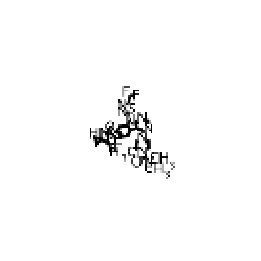 CC1CN(c2ncnc3c2c2cc(F)c(S(=O)(=O)NC4(C#N)CC4)cc2n3-c2nnc(C(F)F)s2)CCN1C(=O)N(C)C